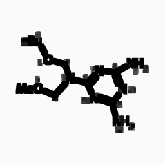 CCCCOCN(COC)c1nc(N)nc(N)n1